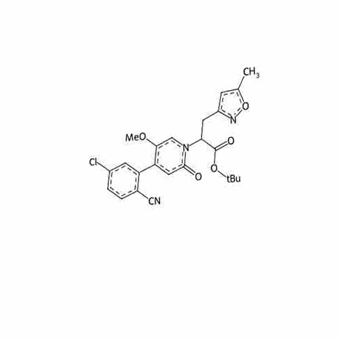 COc1cn(C(Cc2cc(C)on2)C(=O)OC(C)(C)C)c(=O)cc1-c1cc(Cl)ccc1C#N